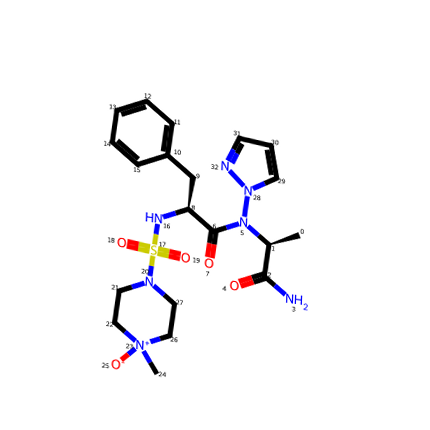 C[C@@H](C(N)=O)N(C(=O)[C@H](Cc1ccccc1)NS(=O)(=O)N1CC[N+](C)([O-])CC1)n1cccn1